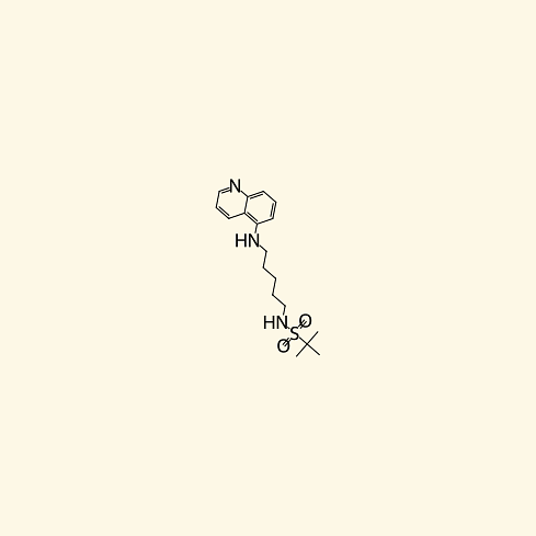 CC(C)(C)S(=O)(=O)NCCCCCNc1cccc2ncccc12